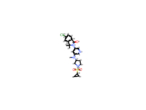 CN(c1cncc(N2C(=O)c3ccc(Cl)cc3C2(C)C)c1)[C@H]1CCN(S(=O)(=O)C2CC2)C1